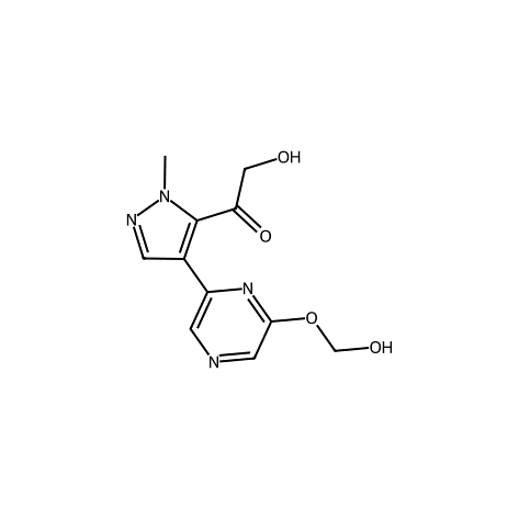 Cn1ncc(-c2cncc(OCO)n2)c1C(=O)CO